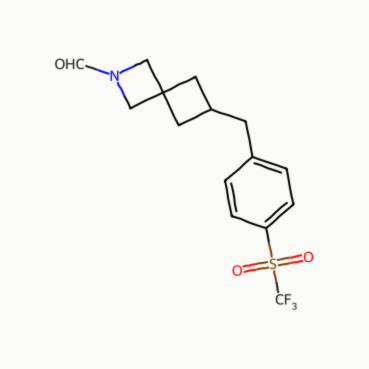 O=CN1CC2(CC(Cc3ccc(S(=O)(=O)C(F)(F)F)cc3)C2)C1